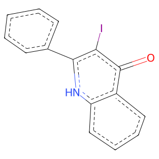 O=c1c(I)c(-c2ccccc2)[nH]c2ccccc12